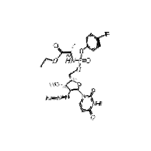 CCOC(=O)[C@H](C)NP(=O)(OC[C@H]1OC(n2ccc(=O)[nH]c2=O)=C(N=[N+]=[N-])[C@@H]1O)Oc1ccc(F)cc1